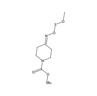 CC(C)(C)OC(=O)N1CCC(=NOSOI)CC1